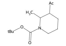 CC(=O)C1CCCN(C(=O)OC(C)(C)C)C1C